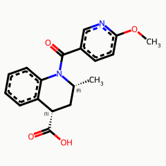 COc1ccc(C(=O)N2c3ccccc3[C@@H](C(=O)O)C[C@H]2C)cn1